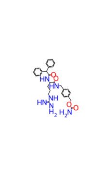 N=C(N)NCCC[C@@H](NC(=O)C(c1ccccc1)c1ccccc1)C(=O)NCc1ccc(COC(N)=O)cc1